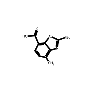 Cc1ccc(C(O)=S)c2oc(C(C)(C)C)nc12